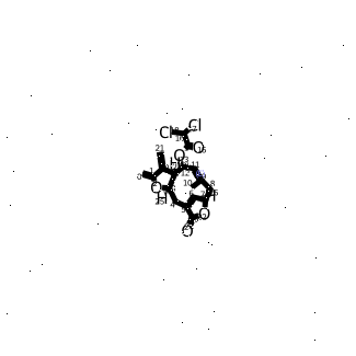 C=C1O[C@H]2CC3=C[C@@H](C/C(C)=C/[C@@H](OC(=O)C(Cl)Cl)[C@@H]2C1=C)OC3=O